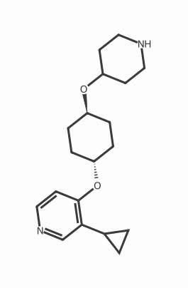 c1cc(O[C@H]2CC[C@H](OC3CCNCC3)CC2)c(C2CC2)cn1